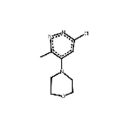 Cc1nnc(Cl)cc1N1CCOCC1